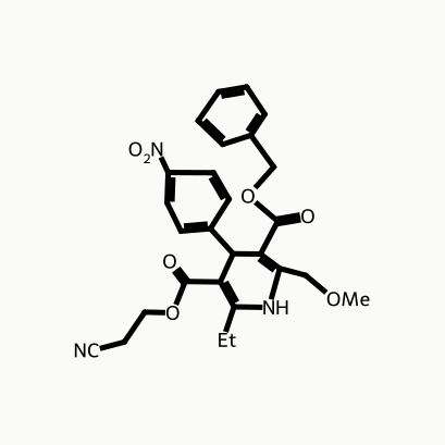 CCC1=C(C(=O)OCCC#N)C(c2ccc([N+](=O)[O-])cc2)C(C(=O)OCc2ccccc2)=C(COC)N1